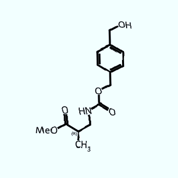 COC(=O)[C@H](C)CNC(=O)OCc1ccc(CO)cc1